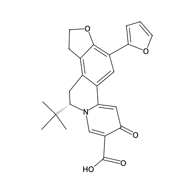 CC(C)(C)[C@@H]1Cc2c(cc(-c3ccco3)c3c2CCO3)-c2cc(=O)c(C(=O)O)cn21